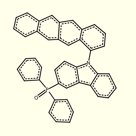 O=P(c1ccccc1)(c1ccccc1)c1ccc2c(c1)c1ccccc1n2-c1cccc2cc3cc4ccccc4cc3cc12